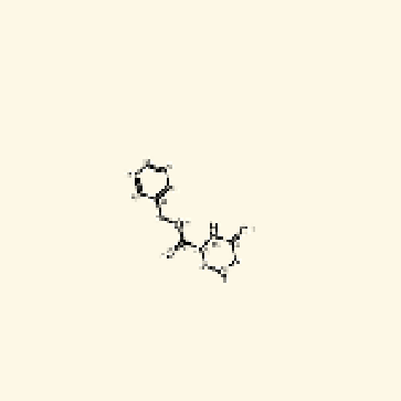 O=C1COC[C@@H](C(=O)OCc2ccccc2)N1